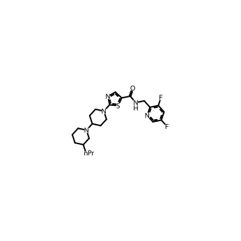 CCCC1CCCN(C2CCN(c3ncc(C(=O)NCc4ncc(F)cc4F)s3)CC2)C1